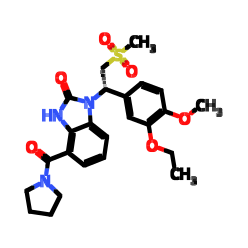 CCOc1cc([C@@H](CS(C)(=O)=O)n2c(=O)[nH]c3c(C(=O)N4CCCC4)cccc32)ccc1OC